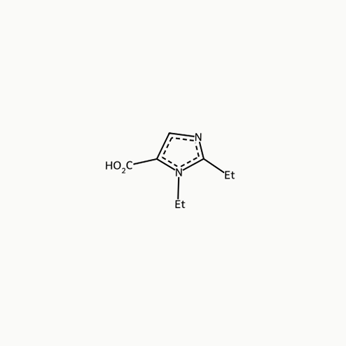 CCc1ncc(C(=O)O)n1CC